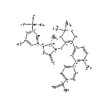 Cc1cc([C@H]2OC(=O)N(CC3=C(c4ccc(C)c(-c5ccc(C(=O)O)cc5)c4)CCC(C)(C)C3)[C@H]2C)cc(C(F)(F)F)c1